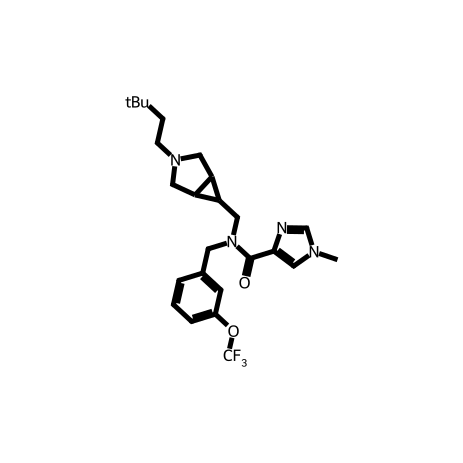 Cn1cnc(C(=O)N(Cc2cccc(OC(F)(F)F)c2)CC2C3CN(CCC(C)(C)C)CC32)c1